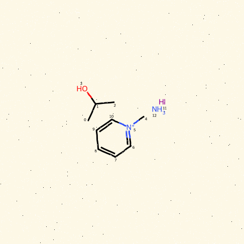 CC(C)O.C[n+]1ccccc1.I.N